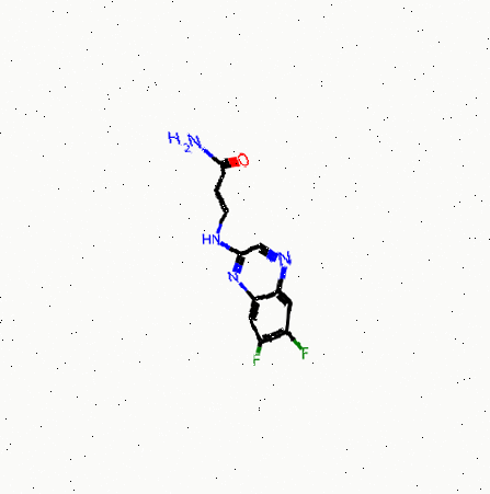 NC(=O)CCNc1cnc2cc(F)c(F)cc2n1